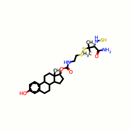 CC12CCC3c4ccc(O)cc4CCC3C1CCC2OC(=O)NCCSSC(C)(C)[C@H](NS)C(N)=O